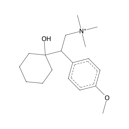 COc1ccc(C(C[N+](C)(C)C)C2(O)CCCCC2)cc1